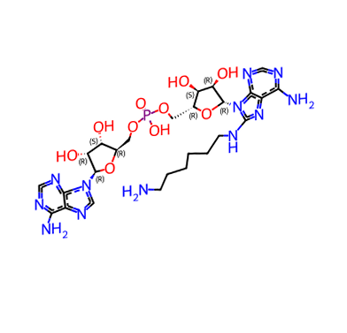 NCCCCCCNc1nc2c(N)ncnc2n1[C@@H]1O[C@H](COP(=O)(O)OC[C@H]2O[C@@H](n3cnc4c(N)ncnc43)[C@H](O)[C@@H]2O)[C@@H](O)[C@H]1O